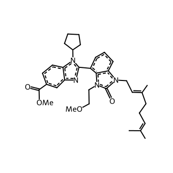 COCCn1c(=O)n(C/C=C(\C)CCC=C(C)C)c2cccc(-c3nc4cc(C(=O)OC)ccc4n3C3CCCC3)c21